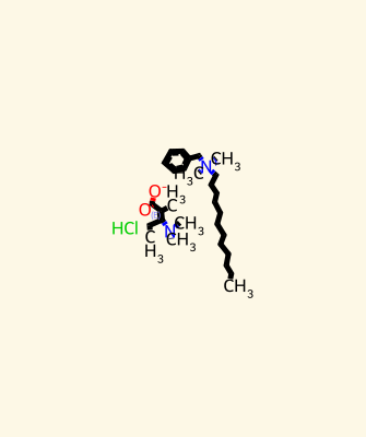 CC/C(=C(/C)C(=O)[O-])N(C)C.CCCCCCCCCCCC[N+](C)(C)Cc1ccccc1.Cl